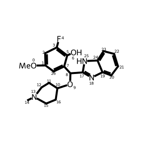 COc1cc(F)c(O)c(C(OC2CCN(C)CC2)c2nc3ccccc3[nH]2)c1